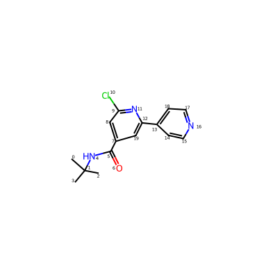 CC(C)(C)NC(=O)c1cc(Cl)nc(-c2ccncc2)c1